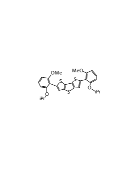 COc1cccc(OC(C)C)c1-c1cc2sc3cc(-c4c(OC)cccc4OC(C)C)sc3c2s1